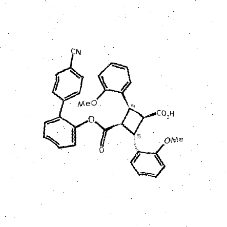 COc1ccccc1[C@H]1[C@H](C(=O)O)[C@H](c2ccccc2OC)[C@@H]1C(=O)Oc1ccccc1-c1ccc(C#N)cc1